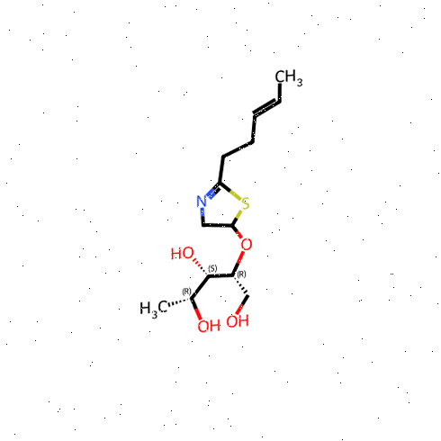 CC=CCCC1=NCC(O[C@H](CO)[C@@H](O)[C@@H](C)O)S1